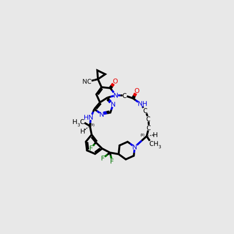 C[C@@H]1CCCNC(=O)Cn2c(=O)c(C3(C#N)CC3)cc3c(ncnc32)N[C@H](C)c2cccc(c2F)C(F)(F)C2CCN1CC2